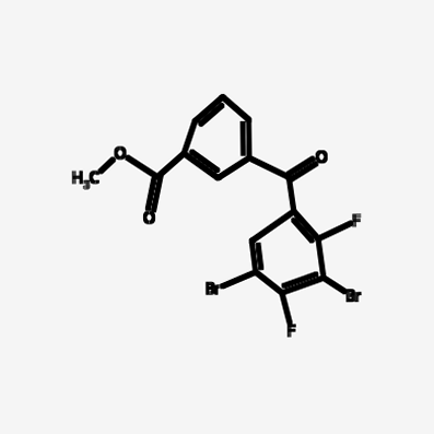 COC(=O)c1cccc(C(=O)c2cc(Br)c(F)c(Br)c2F)c1